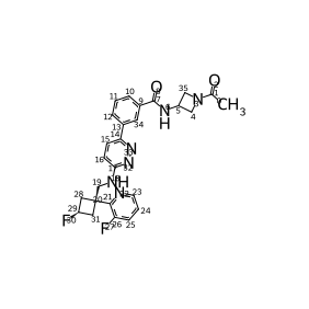 CC(=O)N1CC(NC(=O)c2cccc(-c3ccc(NC[C@]4(c5ncccc5F)C[C@H](F)C4)nn3)c2)C1